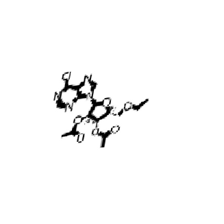 CCOC[C@H]1OC(n2cnc3c(Cl)ncnc32)[C@H](OC(C)=O)[C@@H]1OC(C)=O